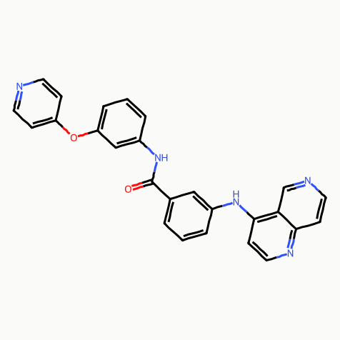 O=C(Nc1cccc(Oc2ccncc2)c1)c1cccc(Nc2ccnc3ccncc23)c1